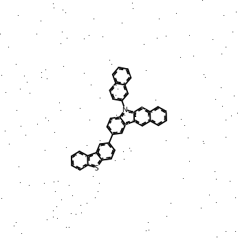 c1ccc2cc(-n3c4ccc(-c5ccc6sc7ccccc7c6c5)cc4c4cc5ccccc5cc43)ccc2c1